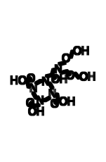 O=C(O)CN1CCN(CC(=O)O)CCN(CC(O)CN(CCOCCO)CCOCCO)CCN(CC(=O)O)CC1